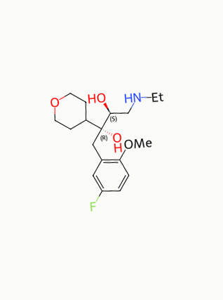 CCNC[C@H](O)[C@@](O)(Cc1cc(F)ccc1OC)C1CCOCC1